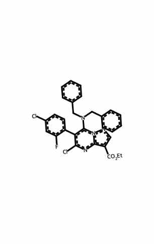 CCOC(=O)c1cnn2c(N(Cc3ccccc3)Cc3ccccc3)c(-c3ccc(Cl)cc3F)c(Cl)nc12